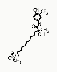 CC(O)(CCCCCCCCCOS(C)(=O)=O)C(=O)Nc1ccc(C#N)c(C(F)(F)F)c1